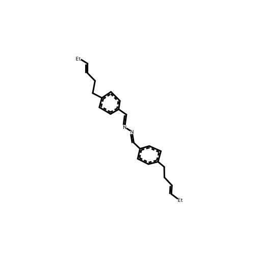 CCC=CCCc1ccc(C=NN=Cc2ccc(CCC=CCC)cc2)cc1